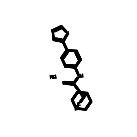 Cl.O=C(Nc1ccc(-c2cccs2)cc1)C1CN2CCC1CC2